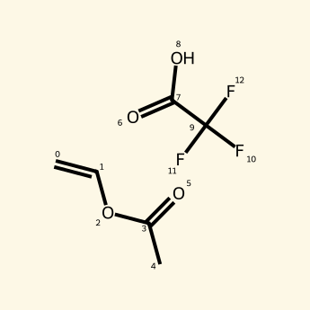 C=COC(C)=O.O=C(O)C(F)(F)F